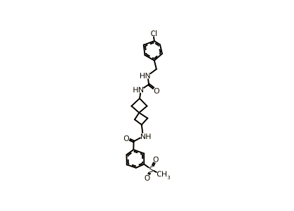 CS(=O)(=O)c1cccc(C(=O)NC2CC3(CC(NC(=O)NCc4ccc(Cl)cc4)C3)C2)c1